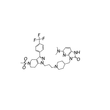 CN(C)c1ccc2[nH]c(=O)n(CC3CCN(CCCn4nc(-c5ccc(C(F)(F)F)cc5)c5c4CCN(S(C)(=O)=O)C5)CC3)c2n1